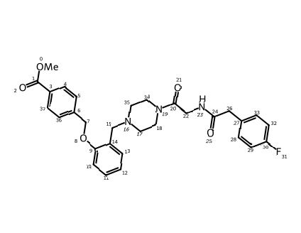 COC(=O)c1ccc(COc2ccccc2CN2CCN(C(=O)CNC(=O)Cc3ccc(F)cc3)CC2)cc1